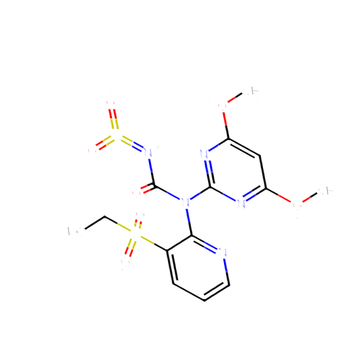 CCS(=O)(=O)c1cccnc1N(C(=O)N=S(=O)=O)c1nc(OC)cc(OC)n1